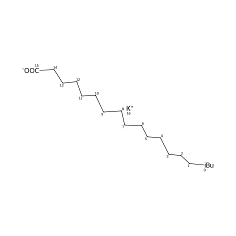 CCC(C)CCCCCCCCCCCCCCC(=O)[O-].[K+]